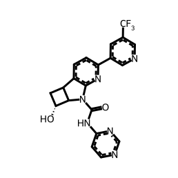 O=C(Nc1ccncn1)N1c2nc(-c3cncc(C(F)(F)F)c3)ccc2C2C[C@@H](O)C21